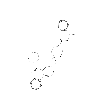 CC(CC(=O)N1CCC(O)(CN2C=C(C(=O)N3CCNCC3)C(c3ccccc3)=CC2)CC1)c1ccccc1